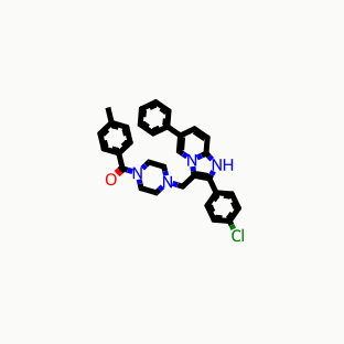 Cc1ccc(C(=O)N2CCN(CC3=C(c4ccc(Cl)cc4)NC4C=CC(c5ccccc5)=CN34)CC2)cc1